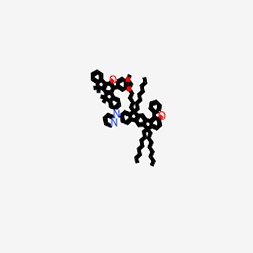 CCCCCCCCC1(CCCCCCCC)c2cc(N(c3ccc4c(c3)C(C)(C)c3c5c(c6oc7ccccc7c6c3-4)-c3ccccc3C5(C)C)c3ccccn3)ccc2-c2cc3c(cc21)-c1c(ccc2oc4ccccc4c12)C3(CCCCCCCC)CCCCCCCC